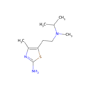 Cc1nc(N)sc1CCN(C)C(C)C